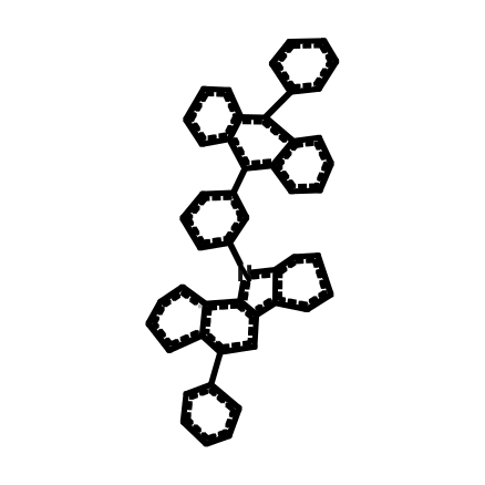 c1ccc(-c2c3ccccc3c(-c3cccc(-n4c5ccccc5c5cc(-c6ccccc6)c6ccccc6c54)c3)c3ccccc23)cc1